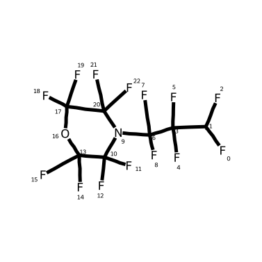 F[C](F)C(F)(F)C(F)(F)N1C(F)(F)C(F)(F)OC(F)(F)C1(F)F